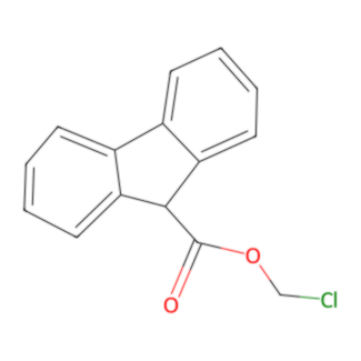 O=C(OCCl)C1c2ccccc2-c2ccccc21